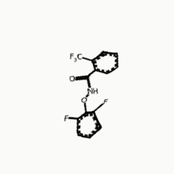 O=C(NOc1c(F)cccc1F)c1ccccc1C(F)(F)F